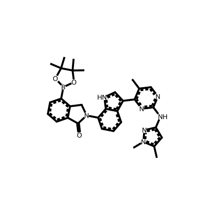 Cc1cnc(Nc2cc(C)n(C)n2)nc1-c1c[nH]c2c(N3Cc4c(B5OC(C)(C)C(C)(C)O5)cccc4C3=O)cccc12